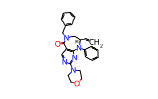 C=C[C@@H]1CN(Cc2ccccc2)C(=O)c2cnc(N3CCOCC3)nc2N1c1ccccc1